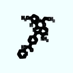 C=CC(=O)N1C2C[C@@H](C1c1nc(-c3ccc(C(=O)Nc4ccccn4)cc3)c3c(N)nccn13)N(C)C2